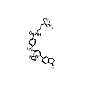 CN(C)CCCNC(=O)c1ccc(Nc2ccc(-c3ccc4c(c3)CCC4=O)n3ccnc23)cc1